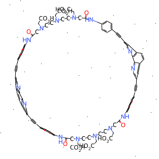 O=C(O)CN1CCN(CC(=O)O)CC(=O)Nc2ccc(cc2)C#Cc2cnc3c(ccc4cc(cnc43)C#Cc3ccc(cc3)NC(=O)CN(CC(=O)O)CCN(CC(=O)O)CCN(CC(=O)O)CC(=O)Nc3ccc(cc3)C#Cc3cnc4c(ccc5cc(cnc54)C#Cc4ccc(cc4)NC(=O)CN(CC(=O)O)CC1)c3)c2